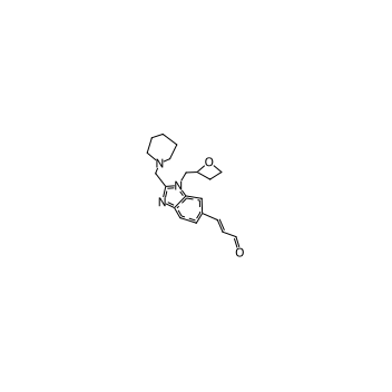 O=C/C=C/c1ccc2nc(CN3CCCCC3)n(CC3CCO3)c2c1